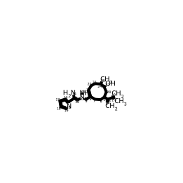 C=C(C)C(=C)C1CC/C(CN(N)/C=C(\N)c2ccccn2)=C\CCC(C)C(O)C1